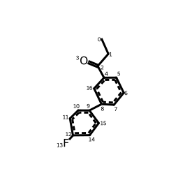 CCC(=O)c1cccc(-c2ccc(F)cc2)c1